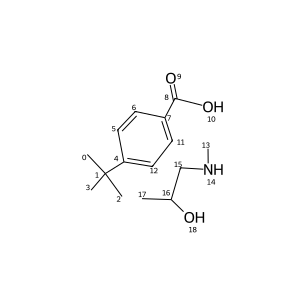 CC(C)(C)c1ccc(C(=O)O)cc1.CNCC(C)O